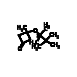 CC1(O[Si](C)(C)C(C)(C)C)CC(=O)C1